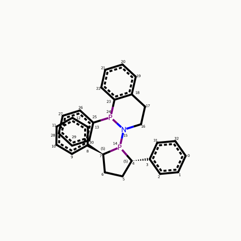 c1ccc([C@@H]2CC[C@@H](c3ccccc3)P2N2CCc3ccccc3P2c2ccccc2)cc1